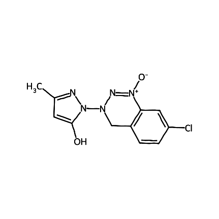 Cc1cc(O)n(N2Cc3ccc(Cl)cc3[N+]([O-])=N2)n1